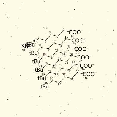 CC(C)(C)CCCCCC(=O)[O-].CC(C)(C)CCCCCC(=O)[O-].CC(C)(C)CCCCCC(=O)[O-].CC(C)(C)CCCCCC(=O)[O-].CC(C)(C)CCCCCC(=O)[O-].CC(C)(C)CCCCCC(=O)[O-].[B+3].[Sb+3]